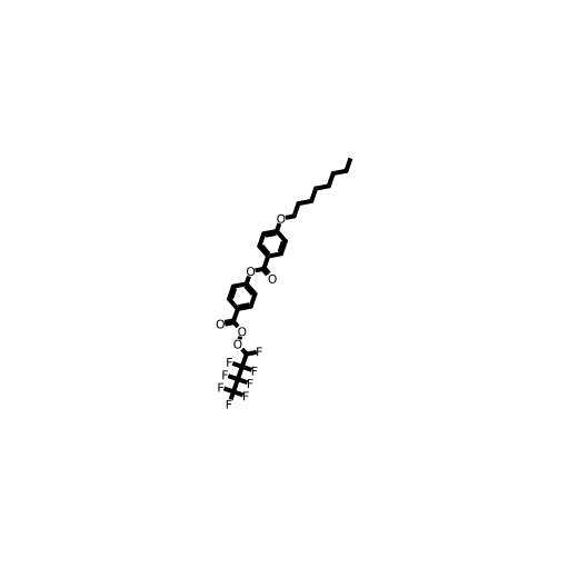 CCCCCCCCOc1ccc(C(=O)Oc2ccc(C(=O)OOC(F)C(F)(F)C(F)(F)C(F)(F)F)cc2)cc1